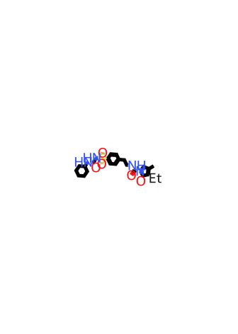 CCC1=C(C)CN(C(=O)NCCc2ccc(S(=O)(=O)NC(=O)NC3CCCCC3)cc2)C1=O